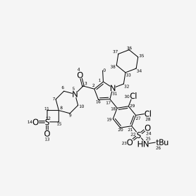 Cc1c(C(=O)N2CCC3(CC2)CS(=O)(=O)C3)cc(-c2ccc(S(=O)(=O)NC(C)(C)C)c(Cl)c2Cl)n1CC1CCCCC1